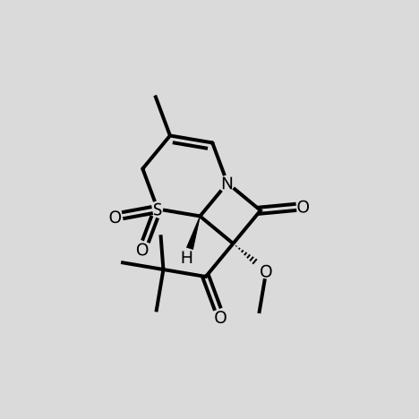 CO[C@@]1(C(=O)C(C)(C)C)C(=O)N2C=C(C)CS(=O)(=O)[C@H]21